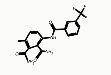 Cc1ccc(NC(=O)c2cccc(C(F)(F)F)c2)c(C(N)=O)c1C(N)=O